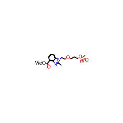 COC(=O)c1cccc2c1nc(C)n2CCOCCCOS(C)(=O)=O